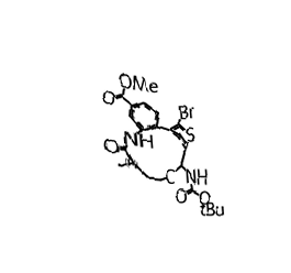 COC(=O)c1ccc2c(c1)NC(=O)[C@H](C)CCCC(NC(=O)OC(C)(C)C)c1cc-2c(Br)s1